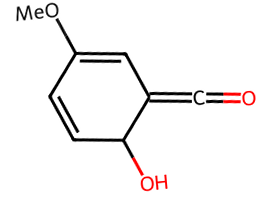 COC1=CC(=C=O)C(O)C=C1